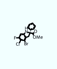 COC(=O)[C@@]1(c2ccccc2)Cc2c(cc(F)c(Cl)c2Br)N1